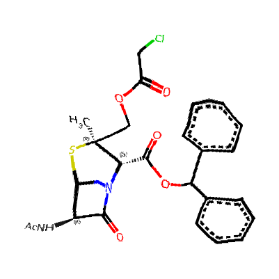 CC(=O)N[C@@H]1C(=O)N2C1S[C@@](C)(COC(=O)CCl)[C@@H]2C(=O)OC(c1ccccc1)c1ccccc1